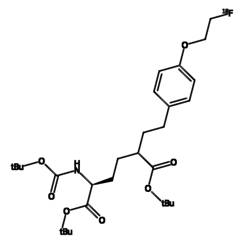 CC(C)(C)OC(=O)N[C@@H](CCC(CCc1ccc(OCC[18F])cc1)C(=O)OC(C)(C)C)C(=O)OC(C)(C)C